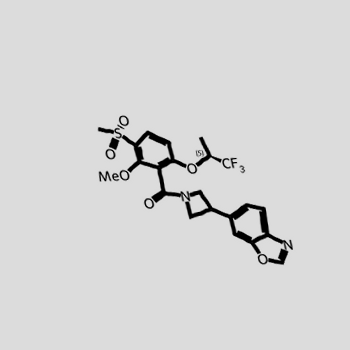 COc1c(S(C)(=O)=O)ccc(O[C@@H](C)C(F)(F)F)c1C(=O)N1CC(c2ccc3ncoc3c2)C1